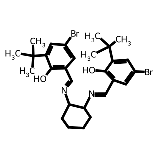 CC(C)(C)c1cc(Br)cc(C=NC2CCCCC2N=Cc2cc(Br)cc(C(C)(C)C)c2O)c1O